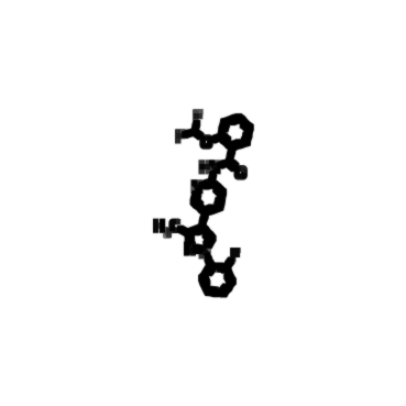 Cc1nn(-c2ccccc2F)cc1-c1ccc(NC(=O)c2ccccc2OC(F)F)nc1